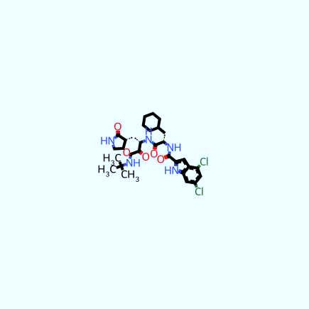 CC(C)(C)NC(=O)C(=O)[C@H](C[C@@H]1CCNC1=O)NC(=O)[C@H](CC1CCCCC1)NC(=O)c1cc2c(Cl)cc(Cl)cc2[nH]1